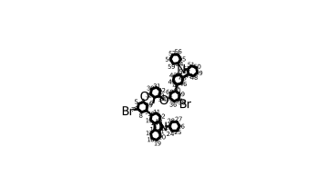 Cc1c(Oc2cc(Br)cc(-c3ccc4c(c3)c3ccccc3n4-c3ccccc3)c2)cccc1Oc1cc(Br)cc(-c2ccc3c(c2)c2ccccc2n3-c2ccccc2)c1